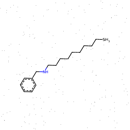 [SiH3]CCCCCCCCCNCc1ccccc1